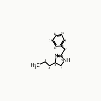 CCCC1CNC(Cc2ccccc2)=N1